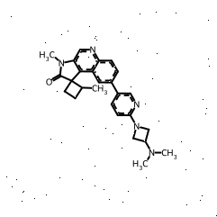 CC1CCC12C(=O)N(C)c1cnc3ccc(-c4ccc(N5CC(N(C)C)C5)nc4)cc3c12